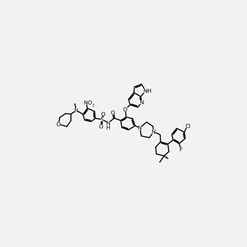 CN(c1ccc(S(=O)(=O)NC(=O)c2ccc(N3CCN(CC4=C(c5ccc(Cl)cc5F)CC(C)(C)CC4)CC3)cc2Oc2cnc3[nH]ccc3c2)cc1[N+](=O)[O-])C1CCOCC1